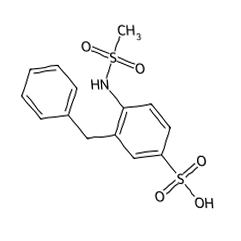 CS(=O)(=O)Nc1ccc(S(=O)(=O)O)cc1Cc1ccccc1